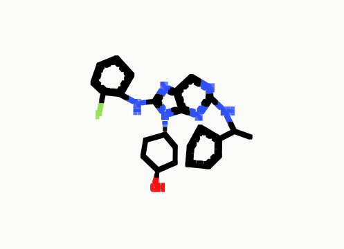 CC(Nc1ncc2nc(Nc3ccccc3F)n([C@H]3CC[C@H](O)CC3)c2n1)c1ccccc1